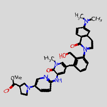 COC(=O)C1CCN(c2ccc(Nc3cc(-c4cccc(N5CCc6cc(N(C)C)ccc6C5=O)c4CO)cn(C)c3=O)nc2)C1